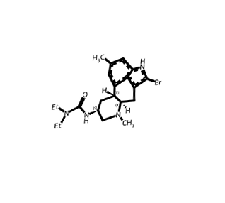 CCN(CC)C(=O)N[C@H]1C[C@@H]2c3cc(C)cc4[nH]c(Br)c(c34)C[C@H]2N(C)C1